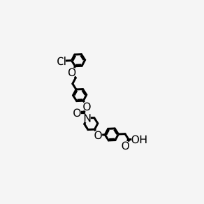 O=C(O)Cc1ccc(OC2CCN(C(=O)Oc3ccc(CCOc4ccccc4Cl)cc3)CC2)cc1